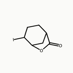 O=C1OC2CC1CCC2I